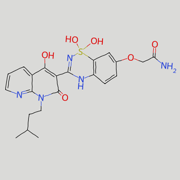 CC(C)CCn1c(=O)c(C2=NS(O)(O)c3cc(OCC(N)=O)ccc3N2)c(O)c2cccnc21